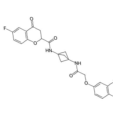 O=C(COc1ccc(Cl)c(F)c1)NC12CC(NC(=O)C3CC(=O)c4cc(F)ccc4O3)(C1)C2